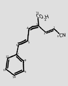 N#CC=CC(=CC=Cc1ccccc1)C(=O)O